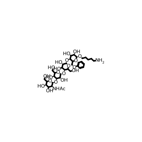 CC(=O)N[C@H]1C(O)[C@@H](O)C(CO)O[C@H]1O[C@@H]1C(O)[C@@H](O[C@H]2C(CO)O[C@@H](O[C@@H]3C(COc4ccccc4)O[C@@H](OCCCCCN)[C@@H](O)C3O)[C@@H](O)C2O)OC(CO)[C@@H]1O